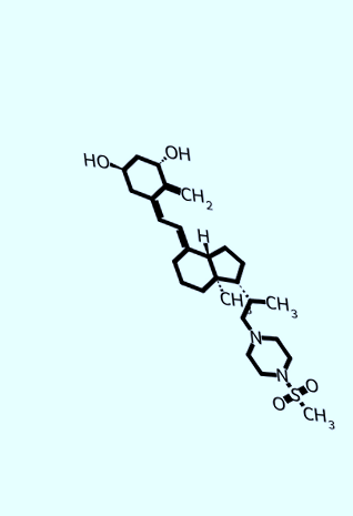 C=C1/C(=C\C=C2/CCC[C@]3(C)[C@@H](C(C)CN4CCN(S(C)(=O)=O)CC4)CC[C@@H]23)C[C@@H](O)C[C@@H]1O